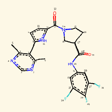 Cc1ncnc(C)c1-c1ccc(C(=O)N2CCC(C(=O)Nc3cc(F)c(F)c(F)c3)C2)[nH]1